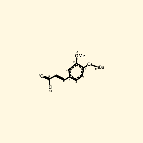 CCCCOc1ccc(C=CC(=O)Cl)cc1OC